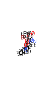 CCC(C(=O)NC(CC(=O)OC(C)(C)C)C(=O)CBr)c1ccnn(Cc2ccccc2C(C)(C)C)c1=O